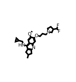 COc1cc2c(NCC3CC3)c3c(nc2cc1OCCCN1CCC(C(F)F)C1)CC(C)C3